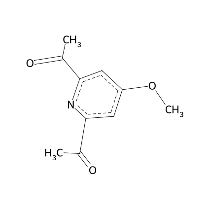 COc1cc(C(C)=O)nc(C(C)=O)c1